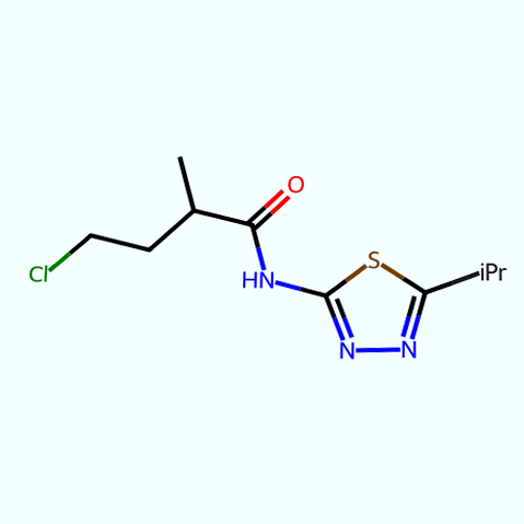 CC(CCCl)C(=O)Nc1nnc(C(C)C)s1